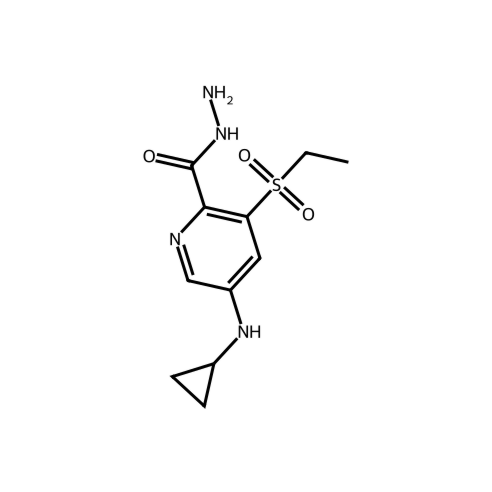 CCS(=O)(=O)c1cc(NC2CC2)cnc1C(=O)NN